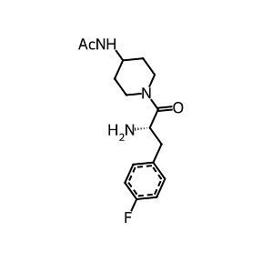 CC(=O)NC1CCN(C(=O)[C@@H](N)Cc2ccc(F)cc2)CC1